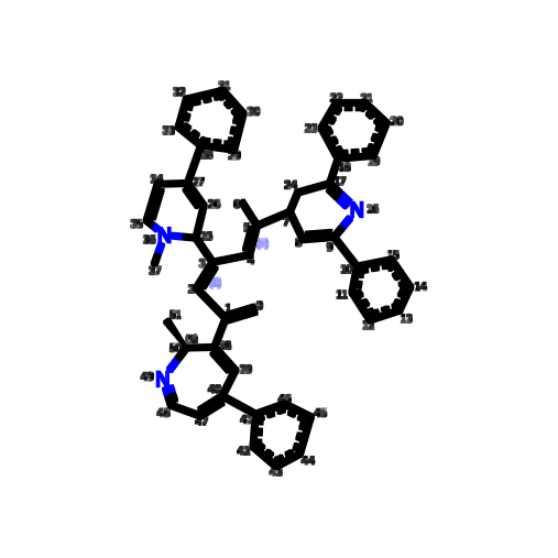 C=C(/C=C(\C=C(/C)C1C=C(c2ccccc2)N=C(c2ccccc2)C1)C1C=C(c2ccccc2)C=CN1C)C1=CC(c2ccccc2)=CC=N[C@H]1C